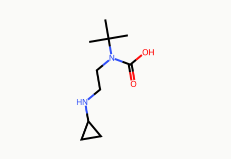 CC(C)(C)N(CCNC1CC1)C(=O)O